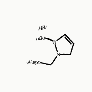 Br.CCCCCCCCN1CC=CN1CCCC